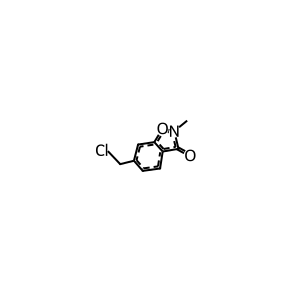 Cn1oc2cc(CCl)ccc2c1=O